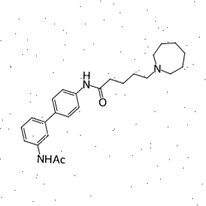 CC(=O)Nc1cccc(-c2ccc(NC(=O)CCCCN3CCCCCC3)cc2)c1